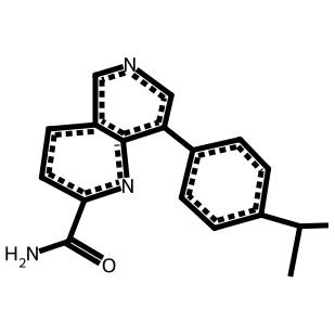 CC(C)c1ccc(-c2cncc3ccc(C(N)=O)nc23)cc1